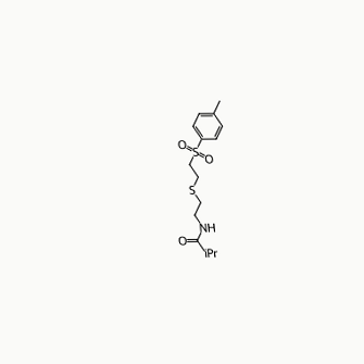 Cc1ccc(S(=O)(=O)CCSCCNC(=O)C(C)C)cc1